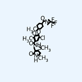 CSc1cc(C)[nH]c(=O)c1CNC(=O)c1cc(Cl)c2c(c1C)OC(C)(C1CCC(C(=O)N3CC(C(F)(F)F)C3)CC1)O2